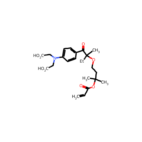 C=CC(=O)OC(C)(C)CCOC(C)(CC)C(=O)c1ccc(N(CC(=O)O)CC(=O)O)cc1